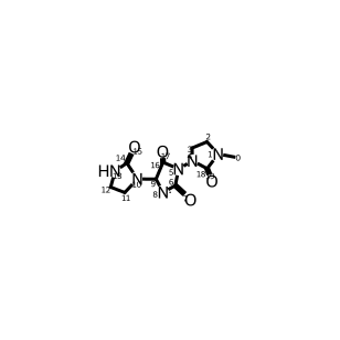 CN1CCN(N2C(=O)[N]C(N3CCNC3=O)C2=O)C1=O